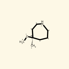 CO[C@]1(C)CCCNCC1